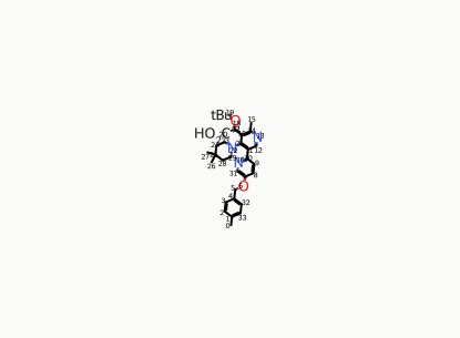 Cc1ccc(COc2ccc(-c3cnc(C)c([C@H](OC(C)(C)C)C(=O)O)c3N3CCC(C)(C)CC3)nc2)cc1